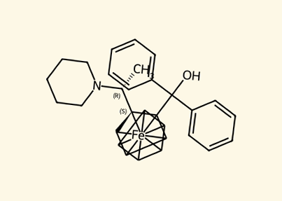 C[C@@H](N1CCCCC1)[C@]12[CH]3[CH]4[CH]5[C]1(C(O)(c1ccccc1)c1ccccc1)[Fe]45321678[CH]2[CH]1[CH]6[CH]7[CH]28